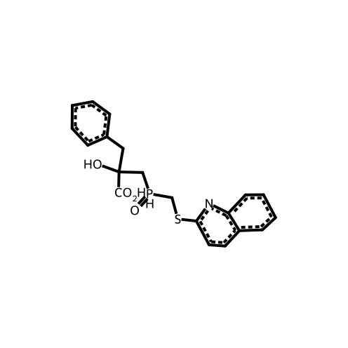 O=C(O)C(O)(Cc1ccccc1)C[PH](=O)CSc1ccc2ccccc2n1